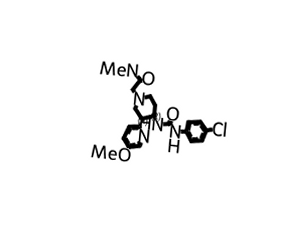 CNC(=O)CN1CC[C@@H](NC(=O)Nc2ccc(Cl)cc2)[C@H](c2ccc(OC)cn2)C1